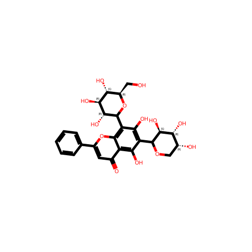 O=c1cc(-c2ccccc2)oc2c(C3O[C@H](CO)[C@@H](O)[C@H](O)[C@H]3O)c(O)c(C3OC[C@@H](O)[C@@H](O)[C@@H]3O)c(O)c12